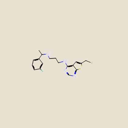 CC(C)Cc1cc2c(NCCCNC(C)c3cccc(F)c3)ncnc2s1